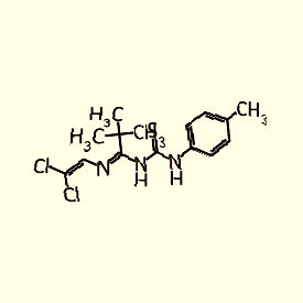 Cc1ccc(NC(=S)N/C(=N/C=C(Cl)Cl)C(C)(C)C)cc1